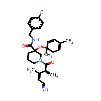 C=C(C(=O)N1CCCC(OC2(C)C=CC(C(F)(F)F)=CC2)(C(=O)NCc2ccc(Cl)cc2)C1)/C(=C\C=N)C(F)(F)F